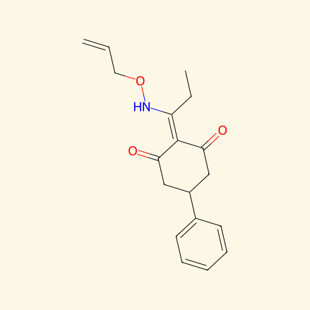 C=CCONC(CC)=C1C(=O)CC(c2ccccc2)CC1=O